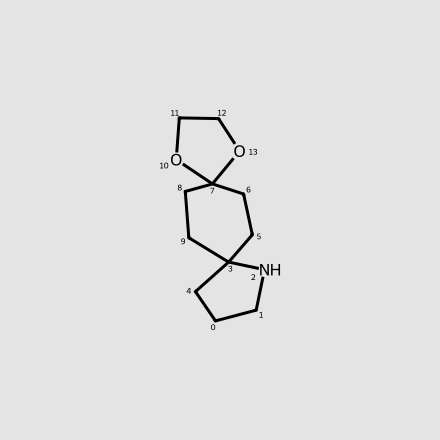 C1CNC2(C1)CCC1(CC2)OCCO1